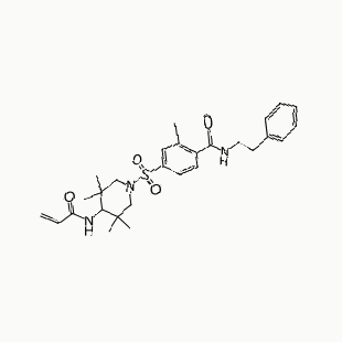 C=CC(=O)NC1C(C)(C)CN(S(=O)(=O)c2ccc(C(=O)NCCc3ccccc3)c(C)c2)CC1(C)C